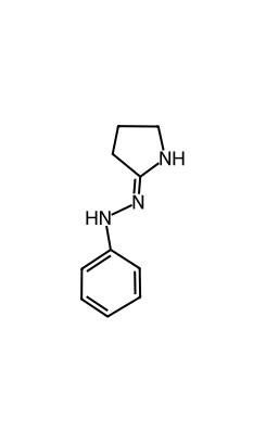 c1ccc(NN=C2CCCN2)cc1